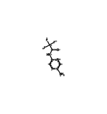 Nc1ccc(NC(=O)C(F)(F)F)nc1